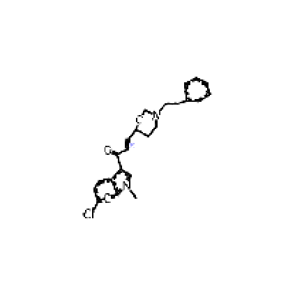 Cn1cc(C(=O)/C=C/C2CCN(CCc3ccccc3)CC2)c2ccc(Cl)cc21